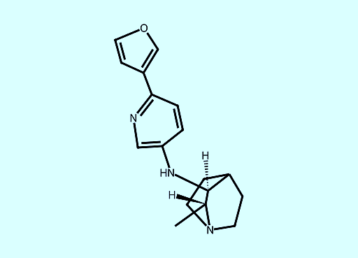 C[C@@H]1[C@@H](Nc2ccc(-c3ccoc3)nc2)C2CCN1CC2